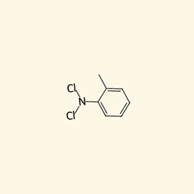 Cc1ccccc1N(Cl)Cl